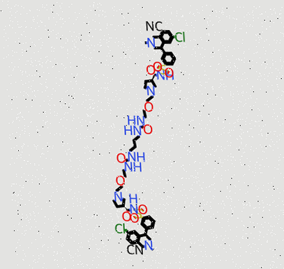 CN1Cc2c(C#N)cc(Cl)cc2C(c2cccc(S(=O)(=O)NC(=O)[C@@H]3CCN(CCOCCNC(=O)NCCCCNC(=O)NCCOCCN4CC[C@@H](C(=O)NS(=O)(=O)c5cccc(C6CN(C)Cc7c(C#N)cc(Cl)cc76)c5)C4)C3)c2)C1